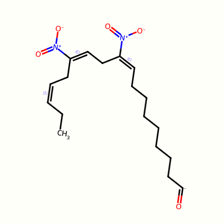 CC/C=C\C/C(=C\C/C(=C\CCCCCCC[C]=O)[N+](=O)[O-])[N+](=O)[O-]